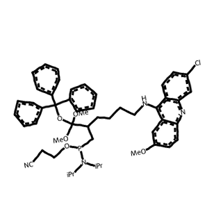 COc1ccc2nc3cc(Cl)ccc3c(NCCCCC(CP(OCCC#N)N(C(C)C)C(C)C)C(OC)(OC)OC(c3ccccc3)(c3ccccc3)c3ccccc3)c2c1